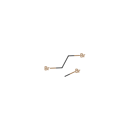 BrCCBr.CBr